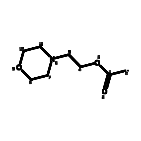 [CH2]C(=O)OCCN1CCOCC1